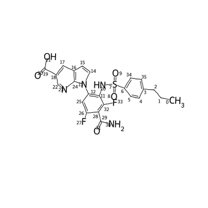 CCCc1ccc(S(=O)(=O)Nc2c(-n3ccc4cc(C(=O)O)cnc43)cc(F)c(C(N)=O)c2F)cc1